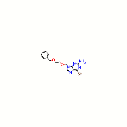 Nc1nc(S)c2ncn(COCCOCc3ccccc3)c2n1